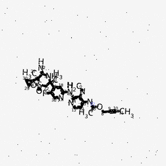 C=Nc1c(/N=C(\C)OCC#CC)ccnc1Nc1cc([C@]2(C)CS(=O)(=O)[C@@](C)(C3CC3)C(=N)N2)c(F)cn1